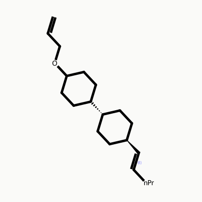 C=CCOC1CCC([C@H]2CC[C@H](/C=C/CCC)CC2)CC1